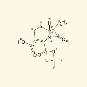 CC(C)(C)OC(=O)C1=C(C(=O)O)CS[C@@H]2C(N)C(=O)N12